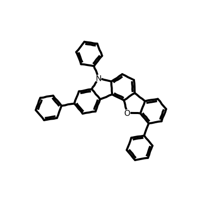 c1ccc(-c2ccc3c4c5oc6c(-c7ccccc7)cccc6c5ccc4n(-c4ccccc4)c3c2)cc1